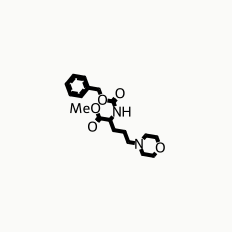 COC(=O)C(CCCN1CCOCC1)NC(=O)OCc1ccccc1